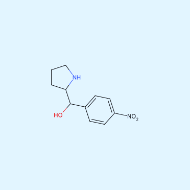 O=[N+]([O-])c1ccc(C(O)C2CCCN2)cc1